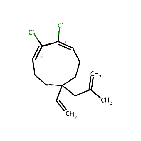 C=CC1(CC(=C)C)CC/C=C(Cl)\C(Cl)=C/CC1